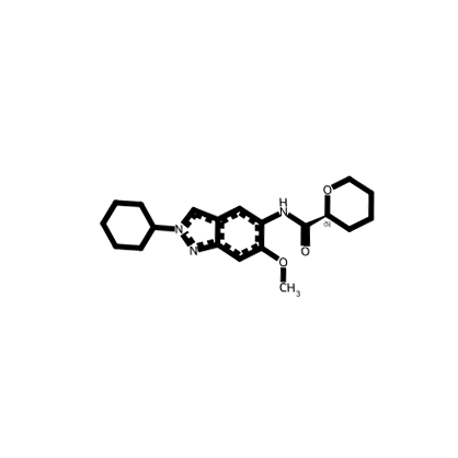 COc1cc2nn(C3CCCCC3)cc2cc1NC(=O)[C@@H]1CCCCO1